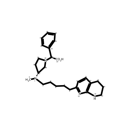 CN(CCCCCc1ccc2c(n1)NCCC2)[C@@H]1CCN([C@H](C(=O)O)c2ccccc2)C1